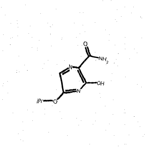 CC(C)Oc1cnc(C(N)=O)c(O)n1